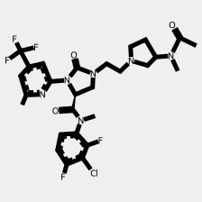 CC(=O)N(C)C1CCN(CCN2C[C@@H](C(=O)N(C)c3ccc(F)c(Cl)c3F)N(c3cc(C(F)(F)F)cc(C)n3)C2=O)C1